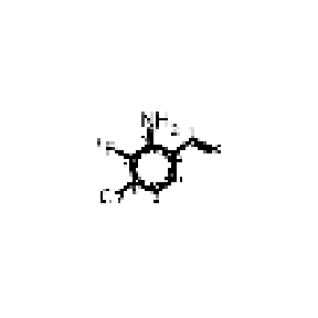 C=Cc1ccc(Cl)c(F)c1N